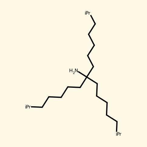 CC(C)CCCCCC(N)(CCCCCC(C)C)CCCCCC(C)C